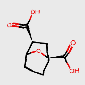 O=C(O)[C@H]1C[C@]2(C(=O)O)CCC1O2